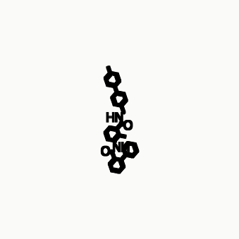 Cc1ccc(-c2ccc(CNC(=O)c3cccc(NC(=O)c4ccccc4-c4ccccc4)c3C)cc2)cc1